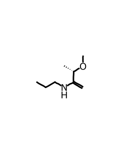 C=C(NCCC)[C@H](C)OC